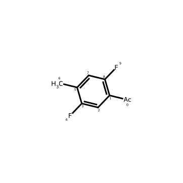 CC(=O)c1cc(F)c(C)cc1F